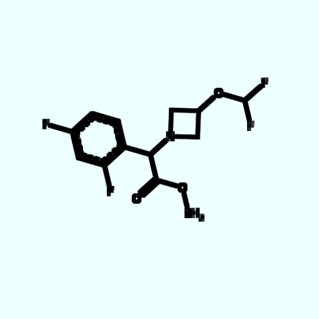 BOC(=O)C(c1ccc(F)cc1F)N1CC(OC(F)F)C1